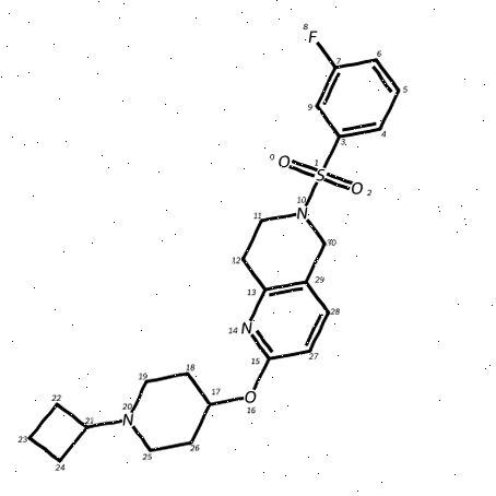 O=S(=O)(c1cccc(F)c1)N1CCc2nc(OC3CCN(C4CCC4)CC3)ccc2C1